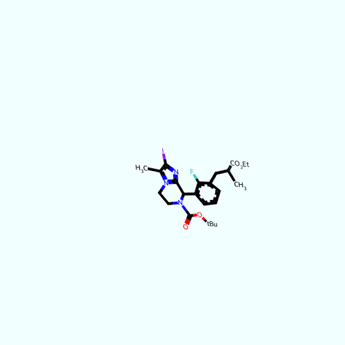 CCOC(=O)C(C)Cc1cccc(C2c3nc(I)c(C)n3CCN2C(=O)OC(C)(C)C)c1F